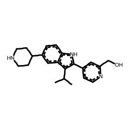 CC(C)c1c(-c2ccnc(CO)c2)[nH]c2ccc(C3CCNCC3)cc12